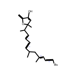 C=C1OC(C)(C(C)/C=C/C=C/C(C)C/C(C)=C/C=C/C(C)CC)C=C1O